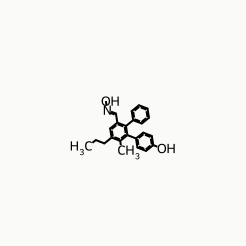 CCCc1cc(C=NO)c(-c2ccccc2)c(-c2ccc(O)cc2)c1C